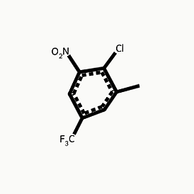 Cc1cc(C(F)(F)F)cc([N+](=O)[O-])c1Cl